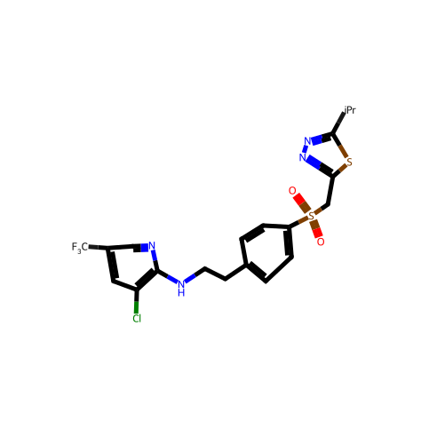 CC(C)c1nnc(CS(=O)(=O)c2ccc(CCNc3ncc(C(F)(F)F)cc3Cl)cc2)s1